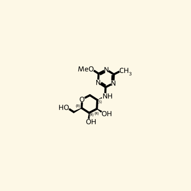 COc1nc(C)nc(N[C@H]2CO[C@H](CO)[C@H](O)[C@@H]2O)n1